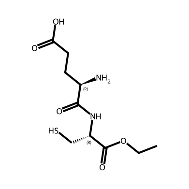 CCOC(=O)[C@H](CS)NC(=O)[C@H](N)CCC(=O)O